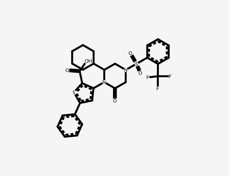 O=C(O)c1sc(-c2ccccc2)cc1N1C(=O)CN(S(=O)(=O)c2ccccc2C(F)(F)F)CC1C1CCCCC1